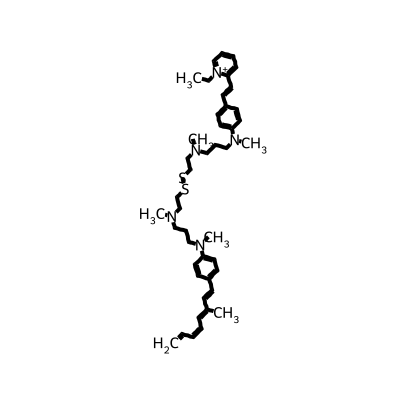 C=C\C=C/C=C(C)/C=C/c1ccc(N(C)CCCN(C)CCSSCCN(C)CCCN(C)c2ccc(/C=C/c3cccc[n+]3CC)cc2)cc1